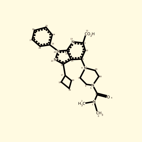 CN(C)C(=O)N1CCN(c2cc(C(=O)O)nc3c2c(C2CCC2)nn3-c2ccccc2)CC1